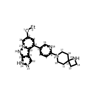 CCOc1cc(-c2ccc(N3CCC4(CCN4)CC3)nc2)c2c3cn[nH]c3nn2c1